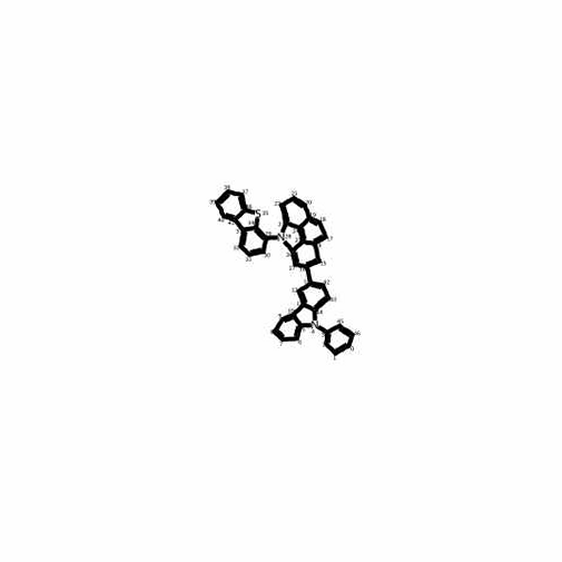 c1ccc(-n2c3ccccc3c3cc(-c4cc5ccc6cccc7c6c5c(c4)n7-c4cccc5c4sc4ccccc45)ccc32)cc1